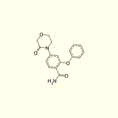 NC(=O)c1ccc(N2CCOCC2=O)cc1Oc1ccccc1